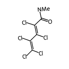 CNC(=O)C(Cl)=C(Cl)C(Cl)=C(Cl)Cl